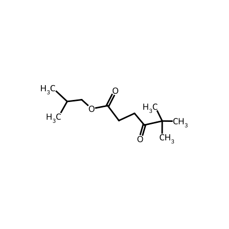 CC(C)COC(=O)CCC(=O)C(C)(C)C